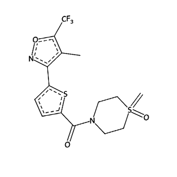 C=S1(=O)CCN(C(=O)c2ccc(-c3noc(C(F)(F)F)c3C)s2)CC1